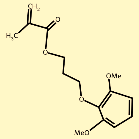 C=C(C)C(=O)OCCCOc1c(OC)cccc1OC